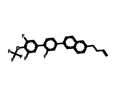 C=CCCc1ccc2cc(-c3ccc(-c4cc(F)c(OC(F)(F)F)c(F)c4)c(F)c3)ccc2c1